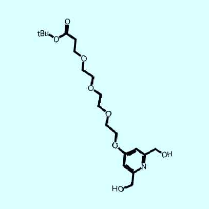 CC(C)(C)OC(=O)CCOCCOCCOCCOc1cc(CO)nc(CO)c1